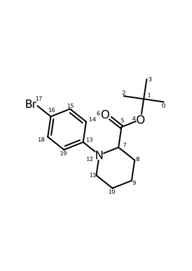 CC(C)(C)OC(=O)C1CCCCN1c1ccc(Br)cc1